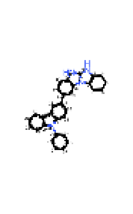 C1=CC2=C(CC1)NC1Nc3ccc(-c4ccc5c(c4)c4ccccc4n5-c4ccccc4)cc3N21